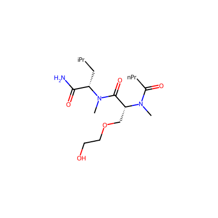 CCCC(=O)N(C)[C@H](COCCO)C(=O)N(C)[C@@H](CC(C)C)C(N)=O